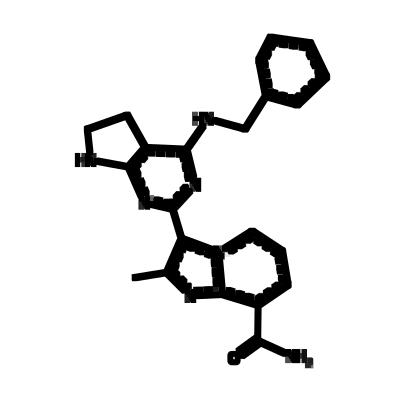 Cc1nc2c(C(N)=O)cccn2c1-c1nc2c(c(NCc3ccccc3)n1)CCN2